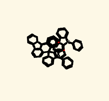 C1=CCC2C(=C1)c1cccc3c1C2(c1ccccc1)c1ccccc1C3(c1ccccc1)c1ccccc1N(c1ccccc1)c1ccc2c3ccccc3n(-c3ccccc3)c2c1